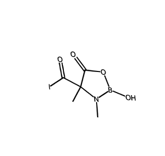 CN1B(O)OC(=O)C1(C)C(=O)I